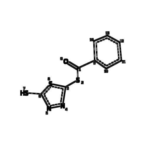 O=C(Sc1nnc(S)s1)c1ccccc1